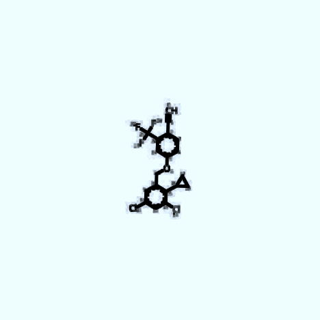 C#Cc1ccc(O[CH]c2cc(Cl)cc(Cl)c2C2CC2)cc1C(F)(F)F